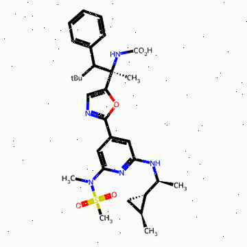 C[C@H](Nc1cc(-c2ncc([C@](C)(NC(=O)O)C(c3ccccc3)C(C)(C)C)o2)cc(N(C)S(C)(=O)=O)n1)[C@H]1C[C@@H]1C